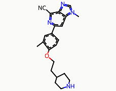 Cc1cc(-c2cc3c(ncn3C)c(C#N)n2)ccc1OCCC1CCNCC1